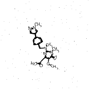 COc1c(C(=O)O)nc(N(C)Cc2ccc(-c3cnn(C)c3)cc2)n(C)c1=O